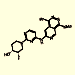 CNc1nnc(C(C)C)c2cc(Nc3ccnc(N4CC[C@@H](O)[C@@H](F)C4)n3)ncc12